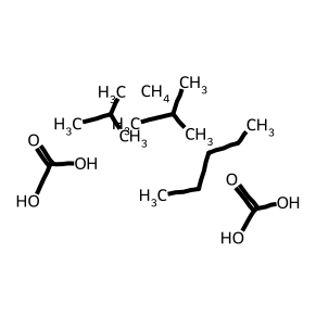 C.CC(C)C.CC(C)C.CCCCC.O=C(O)O.O=C(O)O